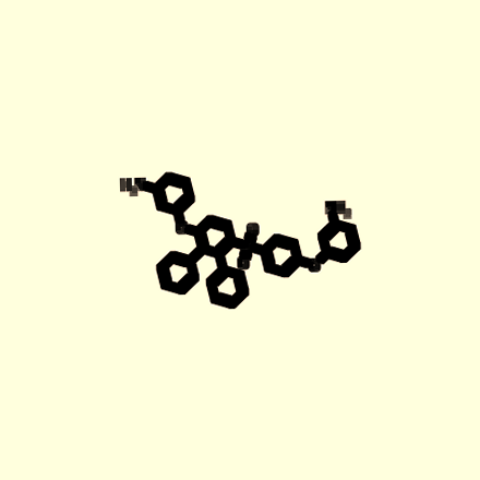 Nc1cccc(Oc2ccc(S(=O)(=O)c3ccc(Oc4cccc(N)c4)c(-c4ccccc4)c3-c3ccccc3)cc2)c1